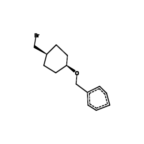 BrC[C@H]1CC[C@@H](OCc2ccccc2)CC1